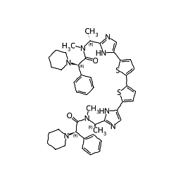 C[C@H](c1ncc(-c2ccc(-c3ccc(-c4cnc([C@@H](C)N(C)C(=O)[C@@H](c5ccccc5)N5CCCCC5)[nH]4)s3)s2)[nH]1)N(C)C(=O)[C@@H](c1ccccc1)N1CCCCC1